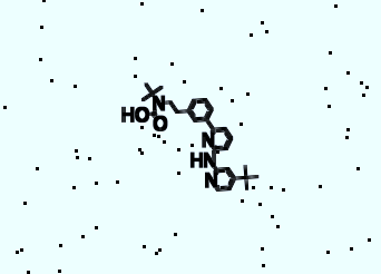 CC(C)(C)c1ccnc(Nc2cccc(-c3cccc(CCN(C(=O)O)C(C)(C)C)c3)n2)c1